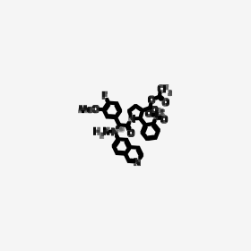 CCS(=O)(=O)c1ccccc1C1C(C(=O)OC(=O)C(F)(F)F)CCN1C(=O)[C@H](c1ccc(F)c(OC)c1)N(N)c1ccc2cnccc2c1